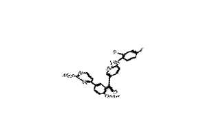 COc1ccc(-c2ccnc(SC)n2)cc1C(=O)c1ccc(Nc2ccc(F)cc2F)nc1